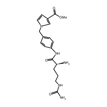 COC(=O)c1ccn(Cc2ccc(NC(=O)[C@@H](N)CCCNC(N)=O)cc2)c1